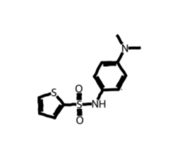 CN(C)c1c[c]c(NS(=O)(=O)c2cccs2)cc1